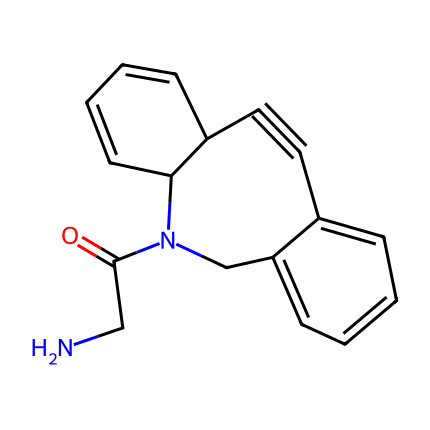 NCC(=O)N1Cc2ccccc2C#CC2C=CC=CC21